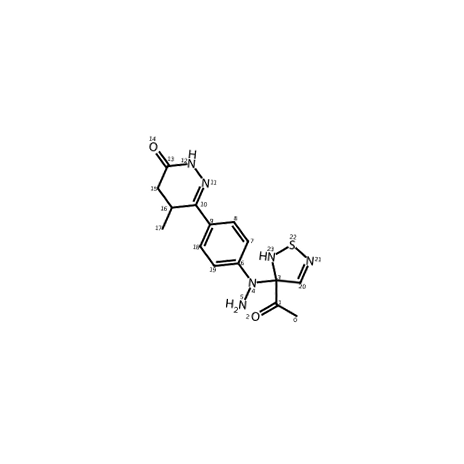 CC(=O)C1(N(N)c2ccc(C3=NNC(=O)CC3C)cc2)C=NSN1